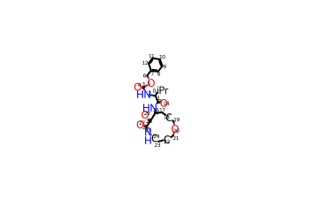 CC(C)C(NC(=O)OCc1ccccc1)C(=O)NC1CCCOCCCCNC(=O)C1=O